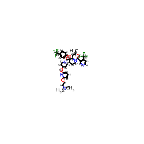 CCC[C@H]1N(C(=O)c2cnccc2C(F)(F)F)CCC[C@@]1(Oc1ccc(C(F)(F)F)cc1)C(=O)N1CCC(Oc2cccc(OCCN(C)C)n2)CC1